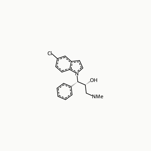 CNC[C@@H](O)[C@H](c1ccccc1)n1ccc2cc(Cl)ccc21